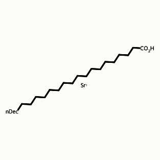 CCCCCCCCCCCCCCCCCCCCCCCCCCCC(=O)O.[Sr]